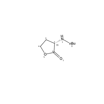 CCCCN[C@H]1CCOC1=O